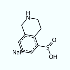 O=S(O)c1cccc2c1CCNC2.[NaH]